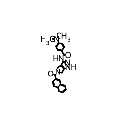 CN(C)c1ccc(C(=O)Nc2n[nH]c3c2CN(C(=O)c2ccc4ccccc4c2)C3)cc1